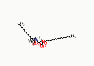 CCCCCCCCCCCCCCCCCC(=O)OC1CC(O)OC(C(C[N+](C)(C)C)OC(=O)CCCCCCCCCCCCCCCCC)C1